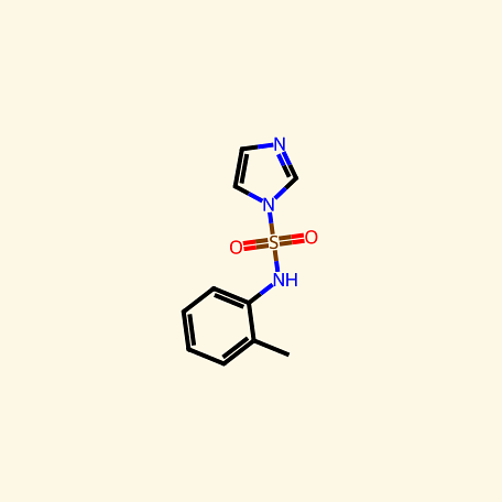 Cc1ccccc1NS(=O)(=O)n1ccnc1